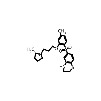 Cc1ccc(S(=O)(=O)c2ccc3c(c2)NCCS3)c(OCCCN2CCC[C@@H]2C)c1